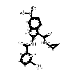 CCN(C(C)=O)c1ccc2c(C(=O)NC3CC3)c(NC(=O)c3cccc(C)n3)[nH]c2c1